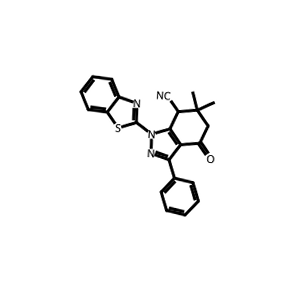 CC1(C)CC(=O)c2c(-c3ccccc3)nn(-c3nc4ccccc4s3)c2C1C#N